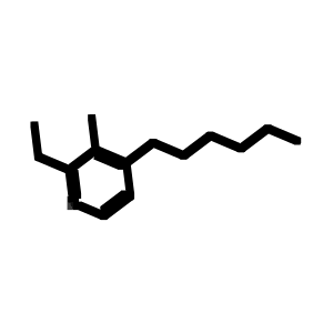 CCCCCCc1ccnc(CC)c1C